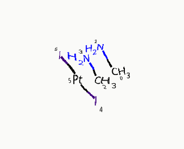 CN.CN.[I][Pt][I]